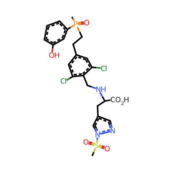 CP(=O)(CCc1cc(Cl)c(CNC(Cc2cnn(S(C)(=O)=O)c2)C(=O)O)c(Cl)c1)c1cccc(O)c1